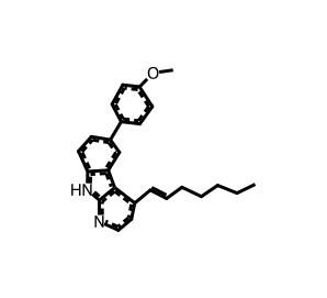 CCCCC/C=C/c1ccnc2[nH]c3ccc(-c4ccc(OC)cc4)cc3c12